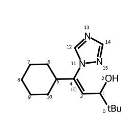 CC(C)(C)C(O)/C=C(/C1CCCCC1)n1cncn1